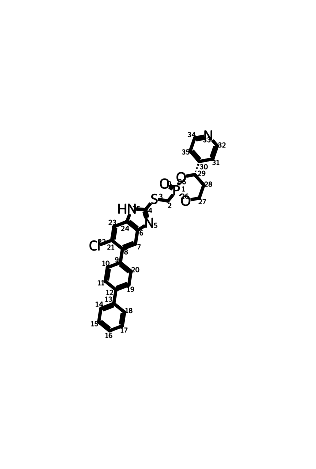 O=P1(CSc2nc3cc(-c4ccc(-c5ccccc5)cc4)c(Cl)cc3[nH]2)OCC[C@@H](c2ccncc2)O1